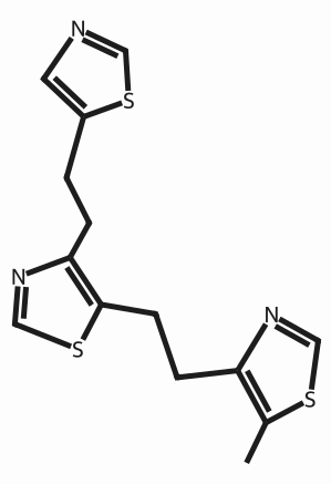 Cc1scnc1CCc1scnc1CCc1cncs1